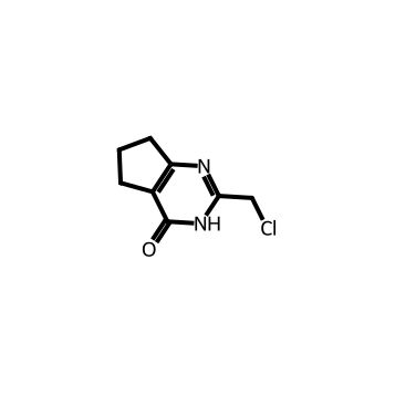 O=c1[nH]c(CCl)nc2c1CCC2